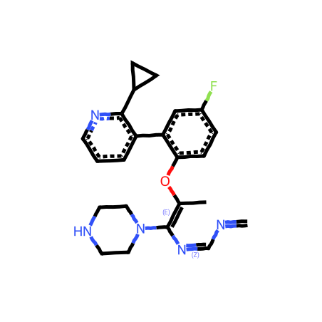 C=N/C=N\C(=C(/C)Oc1ccc(F)cc1-c1cccnc1C1CC1)N1CCNCC1